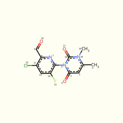 Cc1cc(=O)n(-c2nc(C=O)c(Cl)cc2F)c(=O)n1C